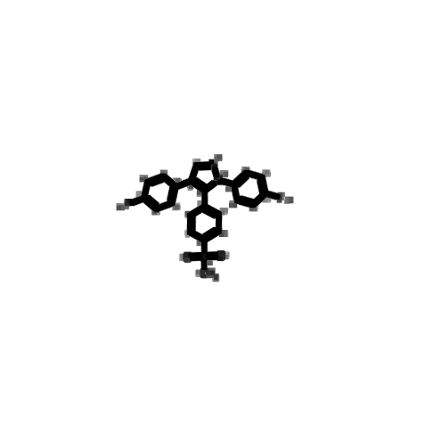 CS(=O)(=O)c1ccc(-c2c(-c3ccc(F)cc3)cnn2-c2ccc(F)cc2)cc1